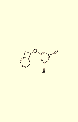 C#Cc1cc(C#C)cc(OC2Cc3ccccc32)c1